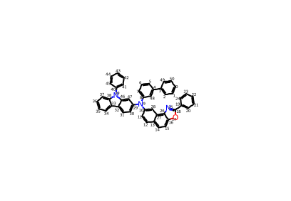 c1ccc(-c2cccc(N(c3ccc4ccc5oc(-c6ccccc6)nc5c4c3)c3ccc4c5ccccc5n(-c5ccccc5)c4c3)c2)cc1